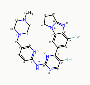 CN1CCN(Cc2ccc(Nc3ncc(F)c(-c4cc(F)c5nc6n(c5c4)[CH]CC6)n3)nc2)CC1